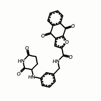 O=C1CCC(Nc2cccc(CNC(=O)c3cc4c(o3)C(=O)c3ccccc3C4=O)c2)C(=O)N1